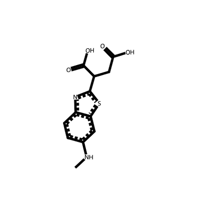 CNc1ccc2nc(C(CC(=O)O)C(=O)O)sc2c1